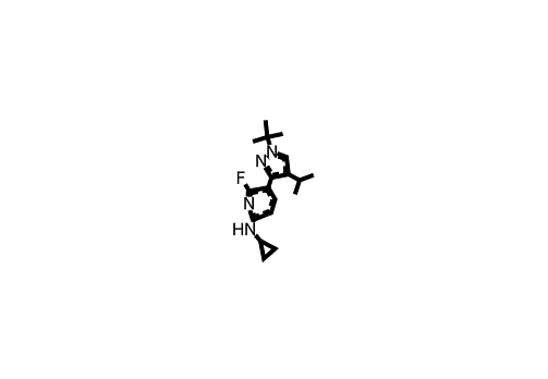 CC(C)c1cn(C(C)(C)C)nc1-c1ccc(NC2CC2)nc1F